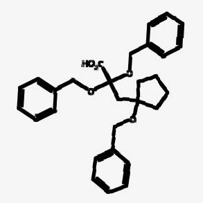 O=C(O)C(CC1(OCc2ccccc2)CCCC1)(OCc1ccccc1)OCc1ccccc1